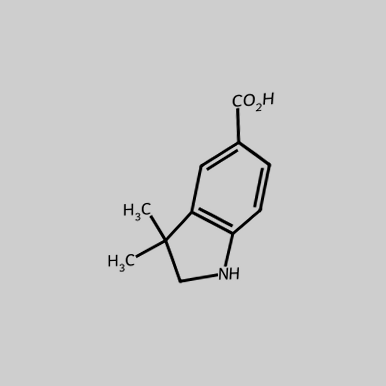 CC1(C)CNc2ccc(C(=O)O)cc21